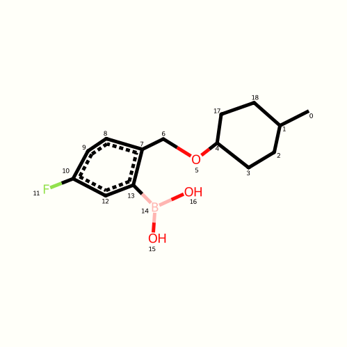 CC1CCC(OCc2ccc(F)cc2B(O)O)CC1